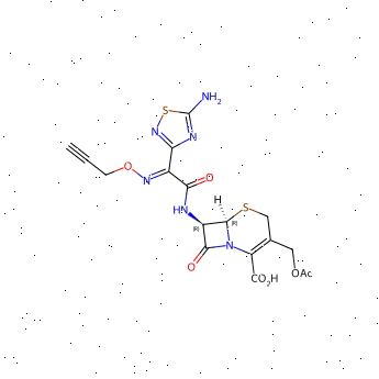 C#CCON=C(C(=O)N[C@@H]1C(=O)N2C(C(=O)O)=C(COC(C)=O)CS[C@H]12)c1nsc(N)n1